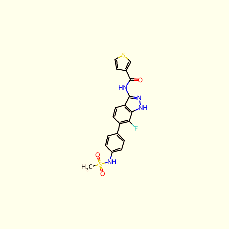 CS(=O)(=O)Nc1ccc(-c2ccc3c(NC(=O)c4ccsc4)n[nH]c3c2F)cc1